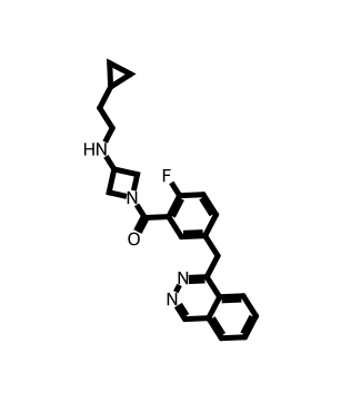 O=C(c1cc(Cc2nncc3ccccc23)ccc1F)N1CC(NCCC2CC2)C1